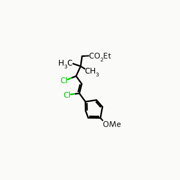 CCOC(=O)CC(C)(C)C(Cl)C=C(Cl)c1ccc(OC)cc1